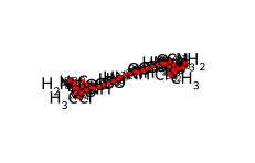 Cc1cc(S(=O)(=O)NCCOCCOCCNC(=O)NCCCCNC(=O)NCCOCCOCCNS(=O)(=O)c2ccc(O[C@H]3c4cc(Cl)cc(C)c4C[C@@H]3N3CCC[C@@H](N)C3)c(C)c2)ccc1O[C@H]1c2cc(Cl)cc(C)c2C[C@@H]1N1CCC[C@@H](N)C1